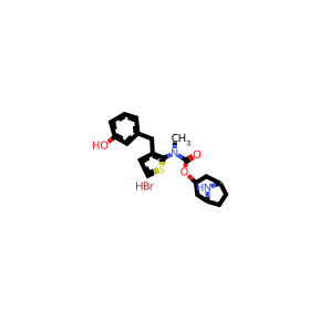 Br.CN(C(=O)OC1CC2CCC(C1)N2)c1sccc1Cc1cccc(O)c1